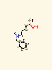 CCC(O)CCCCN(C)Cc1ccccc1